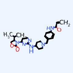 C=CC(=O)Nc1ccc(CN2CCC(Nc3nccc(N4C(=O)OCC4C(C)C)n3)CC2)cc1